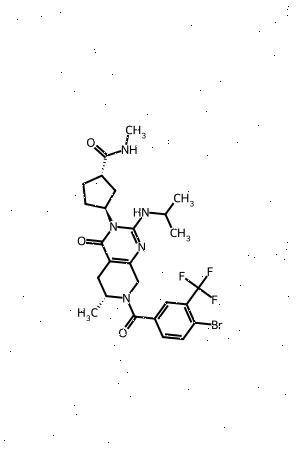 CNC(=O)[C@H]1CC[C@H](n2c(NC(C)C)nc3c(c2=O)C[C@@H](C)N(C(=O)c2ccc(Br)c(C(F)(F)F)c2)C3)C1